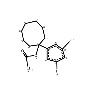 CC(=O)OC1(c2cc(F)cc(F)c2)CCCCCCC1